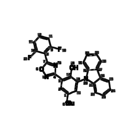 CC(C)(C)c1cc(-c2noc(-c3c(F)cccc3F)n2)c(O)c(-n2c3ccccc3c3ccccc32)c1